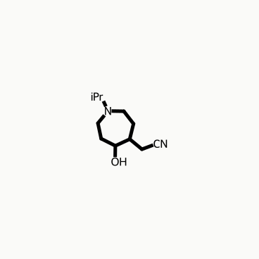 CC(C)N1CCC(O)C(CC#N)CC1